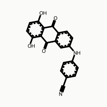 N#Cc1ccc(Nc2ccc3c(c2)C(=O)c2c(O)ccc(O)c2C3=O)cc1